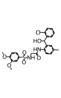 COc1ccc(S(=O)(=O)NCC(=O)Nc2ccc(C)cc2C(O)c2ccccc2Cl)cc1OC